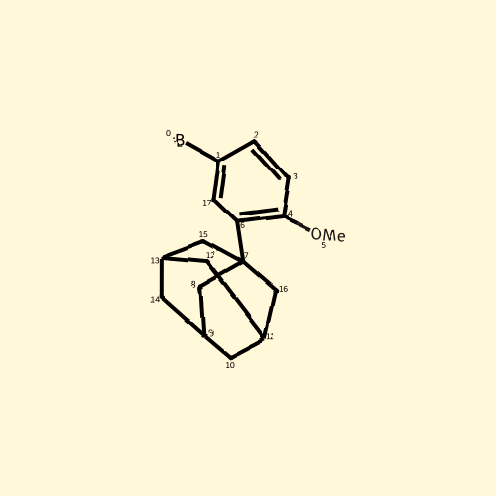 [B]c1ccc(OC)c(C23CC4CC(CC(C4)C2)C3)c1